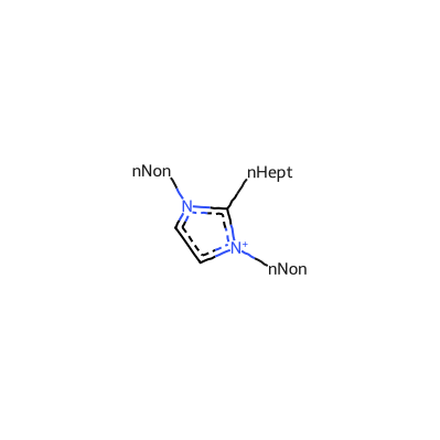 CCCCCCCCCn1cc[n+](CCCCCCCCC)c1CCCCCCC